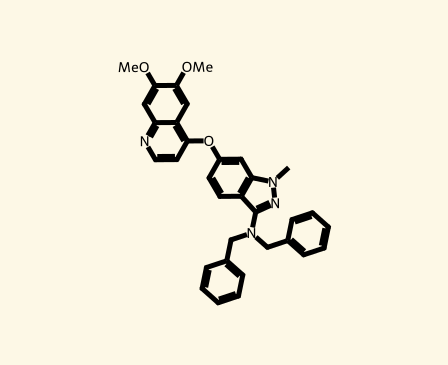 COc1cc2nccc(Oc3ccc4c(N(Cc5ccccc5)Cc5ccccc5)nn(C)c4c3)c2cc1OC